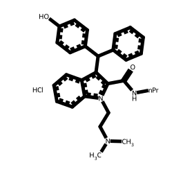 CCCNC(=O)c1c(C(c2ccccc2)c2ccc(O)cc2)c2ccccc2n1CCN(C)C.Cl